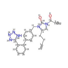 C#CCCc1cn(C(=O)CCCC)c(=O)n1Cc1ccc(-c2ccccc2-c2nnn[nH]2)cc1